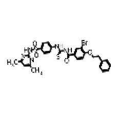 Cc1cc(C)nc(NS(=O)(=O)c2ccc(NC(=S)NC(=O)c3ccc(OCCc4ccccc4)c(Br)c3)cc2)n1